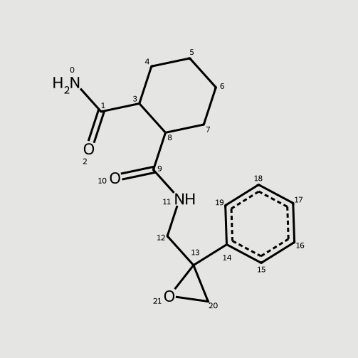 NC(=O)C1CCCCC1C(=O)NCC1(c2ccccc2)CO1